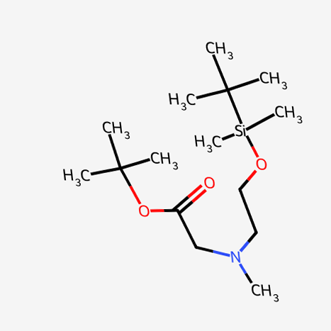 CN(CCO[Si](C)(C)C(C)(C)C)CC(=O)OC(C)(C)C